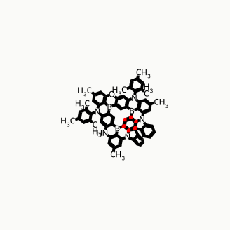 Cc1cc(C)c(N2c3cc4c(cc3B3c5cc6c(cc5Oc5cc(C)cc2c53)N(c2c(C)cc(C)cc2C)c2cc(C)cc3c2B6c2cccc5c6ccccc6n-3c25)B2c3c(cc(C)cc3-n3c5ccccc5c5cccc2c53)N4)c(C)c1